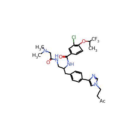 CC(=O)CCn1cnc(-c2ccc(CC(CNC(=O)CN(C)C)NC(=O)c3ccc(OC(C)C(F)(F)F)c(Cl)c3)cc2)c1